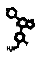 NCc1ccc(-c2nc(N3CCOCC3)cn3nccc23)cc1F